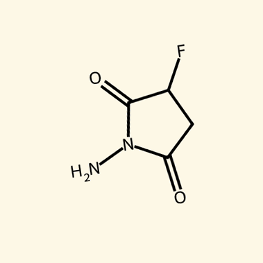 NN1C(=O)CC(F)C1=O